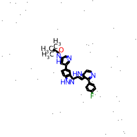 CC(C)(C)C(=O)Nc1cncc(-c2ccc3[nH]nc(-c4cc5c(-c6ccc(F)cc6)nccc5[nH]4)c3c2)c1